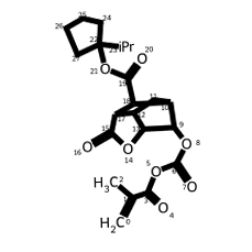 C=C(C)C(=O)OC(=O)OC1C2CC3C1OC(=O)C3C2C(=O)OC1(C(C)C)CCCC1